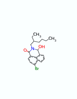 CCCCC(CC)CN1C(=O)c2ccc(Br)c3cccc(c23)C1O